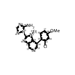 CCn1c(-n2ncnc2N)nc2cncc(-c3ccc(OC)cc3Cl)c21